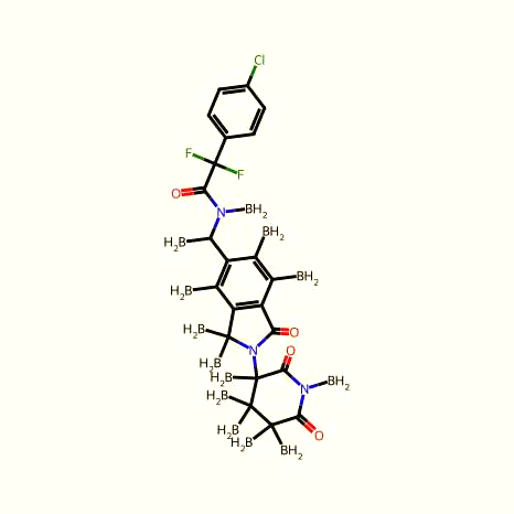 Bc1c(B)c(C(B)N(B)C(=O)C(F)(F)c2ccc(Cl)cc2)c(B)c2c1C(=O)N(C1(B)C(=O)N(B)C(=O)C(B)(B)C1(B)B)C2(B)B